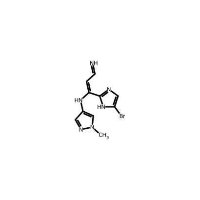 Cn1cc(N/C(=C/C=N)c2ncc(Br)[nH]2)cn1